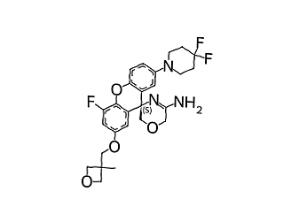 CC1(COc2cc(F)c3c(c2)[C@]2(COCC(N)=N2)c2cc(N4CCC(F)(F)CC4)ccc2O3)COC1